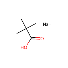 CC(C)(C)C(=O)O.[NaH]